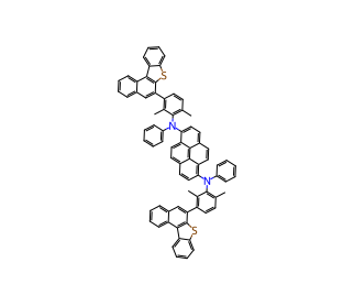 Cc1ccc(-c2cc3ccccc3c3c2sc2ccccc23)c(C)c1N(c1ccccc1)c1ccc2ccc3c(N(c4ccccc4)c4c(C)ccc(-c5cc6ccccc6c6c5sc5ccccc56)c4C)ccc4ccc1c2c43